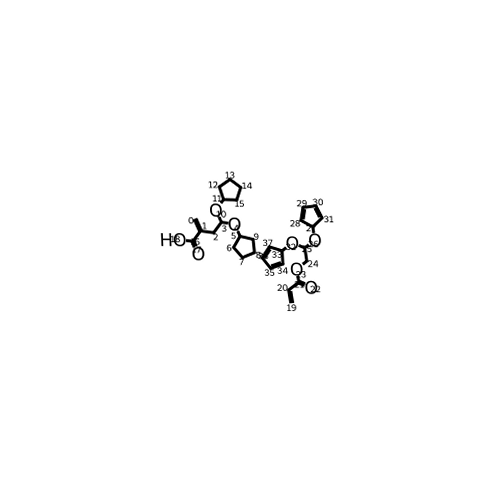 C=C(CC(OC1CCCC1)OC1CCCC1)C(=O)O.C=CC(=O)OCC(OC1C=CC=C1)OC1C=CC=C1